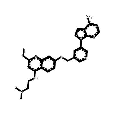 CCc1cc(NCCN(C)C)c2ccc(OCc3cncc(-n4ccc5c(N)ncnc54)c3)cc2n1